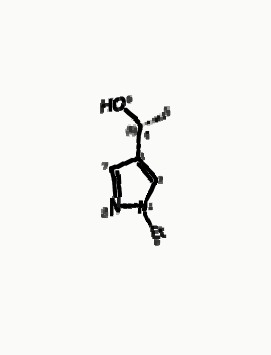 CCn1cc([C@@H](C)O)cn1